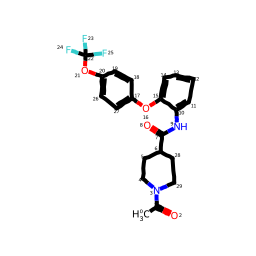 CC(=O)N1CCC(C(=O)Nc2ccccc2Oc2ccc(OC(F)(F)F)cc2)CC1